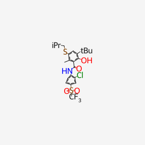 Cc1c(SCC(C)C)cc(C(C)(C)C)c(O)c1C(=O)Nc1ccc(S(=O)(=O)C(F)(F)F)cc1Cl